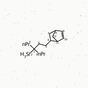 CCCC([SiH3])(CCC)CCC1CC2C=CC1C2